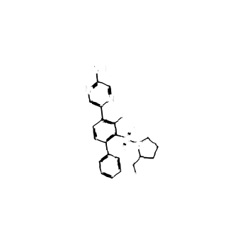 Nc1cnc(-c2ccc(-c3ccccc3)c(S(=O)(=O)N3CCCC3CO)c2F)cn1